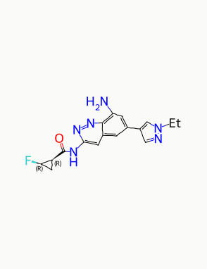 CCn1cc(-c2cc(N)c3nnc(NC(=O)[C@H]4C[C@H]4F)cc3c2)cn1